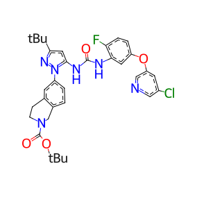 CC(C)(C)OC(=O)N1CCc2cc(-n3nc(C(C)(C)C)cc3NC(=O)Nc3cc(Oc4cncc(Cl)c4)ccc3F)ccc2C1